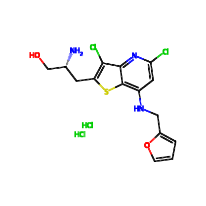 Cl.Cl.N[C@@H](CO)Cc1sc2c(NCc3ccco3)cc(Cl)nc2c1Cl